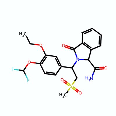 CCOc1cc(C(CS(C)(=O)=O)N2C(=O)c3[c]cccc3C2C(N)=O)ccc1OC(F)F